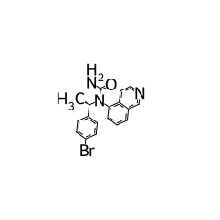 C[C@H](c1ccc(Br)cc1)N(C(N)=O)c1cccc2cnccc12